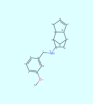 COc1cccc(CNC2CC3CC2C2CC=CC32)c1